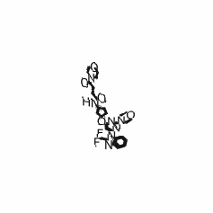 O=C(CCC(=O)N1CCOCC1)N[C@H]1CC[C@H](Oc2cc(-n3c(C(F)F)nc4ccccc43)nc(N3CCOCC3)n2)C1